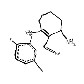 Cc1ccc(F)c(NC2=C(C=N)C(N)CCC2)c1